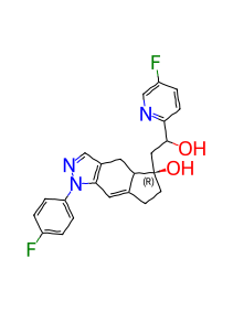 OC(C[C@]1(O)CCC2=Cc3c(cnn3-c3ccc(F)cc3)CC21)c1ccc(F)cn1